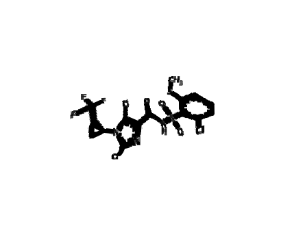 CSc1cccc(Cl)c1S(=O)(=O)NC(=O)c1nc(Cl)n(C2CC2C(F)(F)F)c1Cl